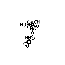 Cc1nn(C(C)(C)C)c2nc(C3CN(C(=O)Nc4ccc5c(c4)OCO5)C3)[nH]c(=O)c12